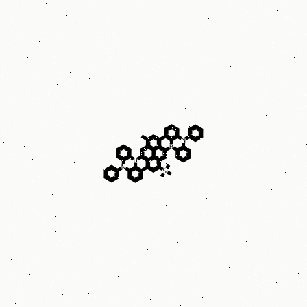 Cc1cc2c3c(cc4c([Si](C)(C)C)cc5c6c(cc1c3c46)B1c3ccccc3N(c3ccccc3)c3cccc-5c31)B1c3ccccc3N(c3ccccc3)c3cccc-2c31